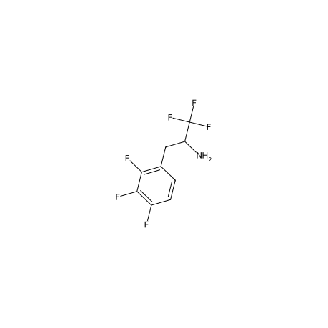 NC(Cc1ccc(F)c(F)c1F)C(F)(F)F